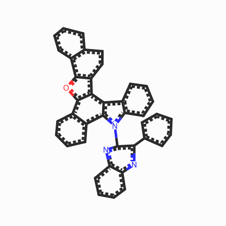 c1ccc(-c2nc3ccccc3nc2-n2c3ccccc3c3c4c5ccc6ccccc6c5oc4c4ccccc4c32)cc1